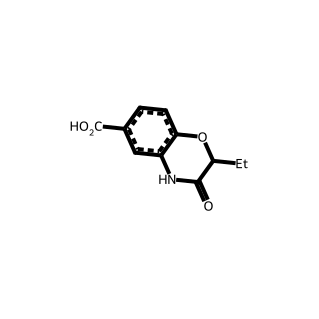 CCC1Oc2ccc(C(=O)O)cc2NC1=O